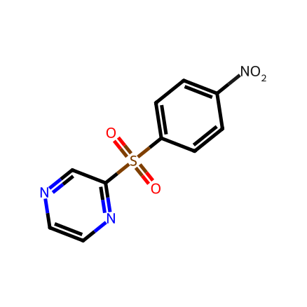 O=[N+]([O-])c1ccc(S(=O)(=O)c2cnccn2)cc1